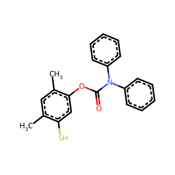 Cc1cc(C)c(OC(=O)N(c2ccccc2)c2ccccc2)cc1S